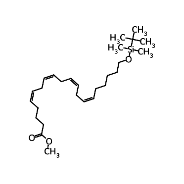 COC(=O)CCC/C=C\C/C=C\C/C=C\C/C=C\CCCCCO[Si](C)(C)C(C)(C)C